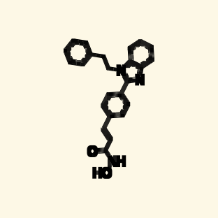 O=C(/C=C/c1ccc(-c2nc3ccccc3n2CCc2ccccc2)cc1)NO